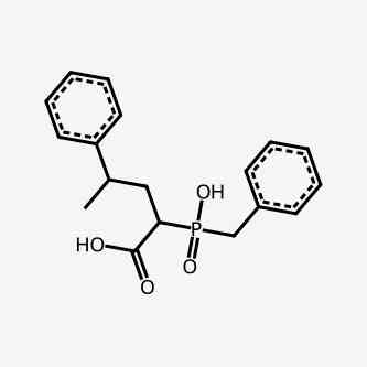 CC(CC(C(=O)O)P(=O)(O)Cc1ccccc1)c1ccccc1